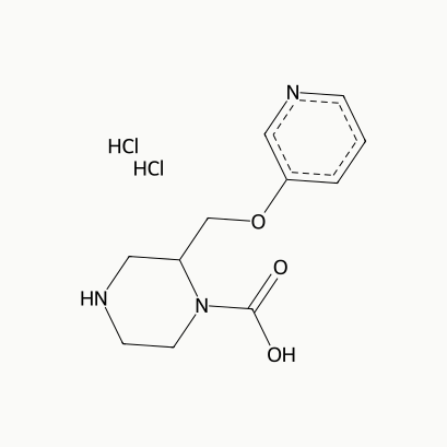 Cl.Cl.O=C(O)N1CCNCC1COc1cccnc1